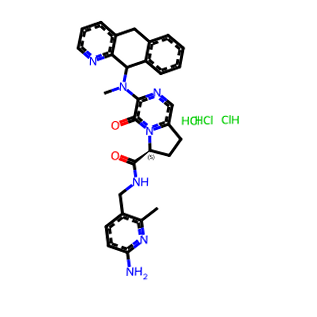 Cc1nc(N)ccc1CNC(=O)[C@@H]1CCc2cnc(N(C)C3c4ccccc4Cc4cccnc43)c(=O)n21.Cl.Cl.Cl